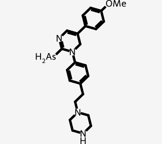 COc1ccc(C2=CN=C([AsH2])N(c3ccc(CCN4CCNCC4)cc3)C2)cc1